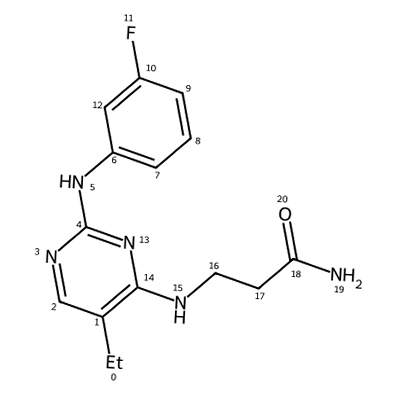 CCc1cnc(Nc2cccc(F)c2)nc1NCCC(N)=O